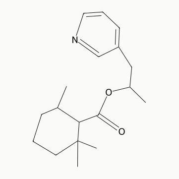 CC(Cc1cccnc1)OC(=O)C1C(C)CCCC1(C)C